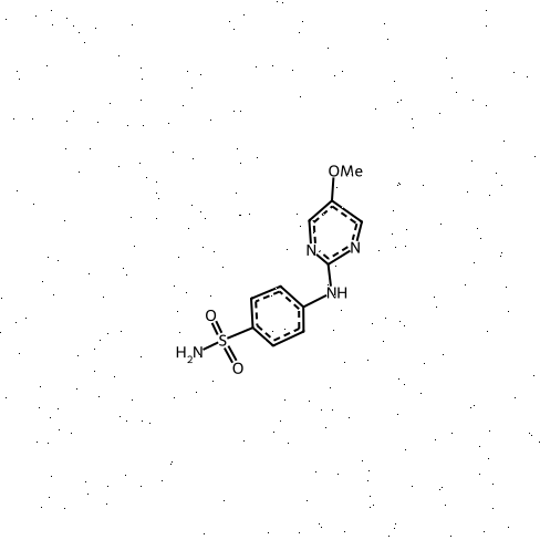 COc1cnc(Nc2ccc(S(N)(=O)=O)cc2)nc1